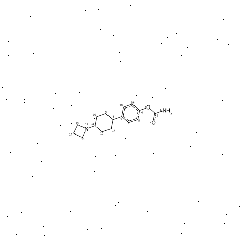 NC(=O)Oc1ccc(C2CCC(N3CCC3)CC2)cc1